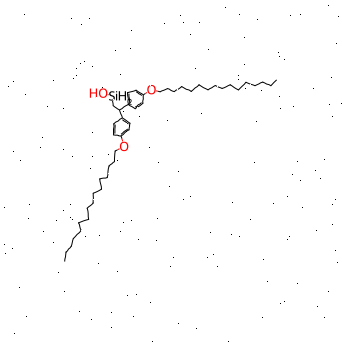 CCCCCCCCCCCCCCCCOc1ccc(C(C[SiH2]O)c2ccc(OCCCCCCCCCCCCCCCC)cc2)cc1